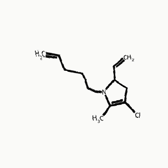 C=CCCCN1C(C)=C(Cl)CC1C=C